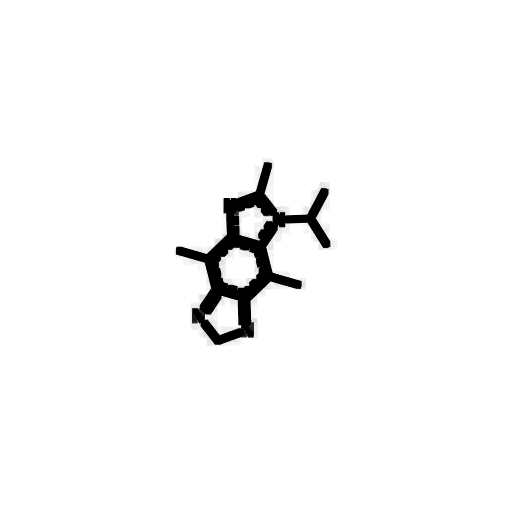 Cc1c2c(c(C)c3c1nc(C)n3C(C)C)=NCN=2